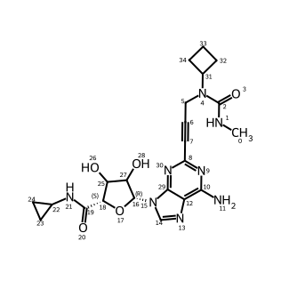 CNC(=O)N(CC#Cc1nc(N)c2ncn([C@@H]3O[C@H](C(=O)NC4CC4)C(O)C3O)c2n1)C1CCC1